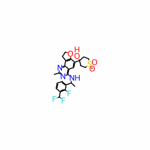 Cc1nc(NC(C)c2cccc(C(F)F)c2F)c2cc(C3(O)CCS(=O)(=O)CC3)c3c(c2n1)CCO3